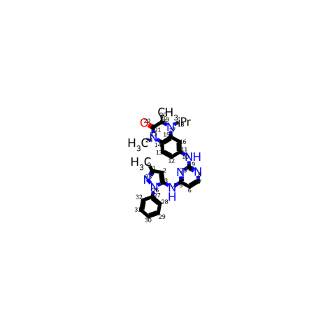 Cc1cc(Nc2ccnc(Nc3ccc4c(c3)N(C(C)C)[C@H](C)C(=O)N4C)n2)n(-c2ccccc2)n1